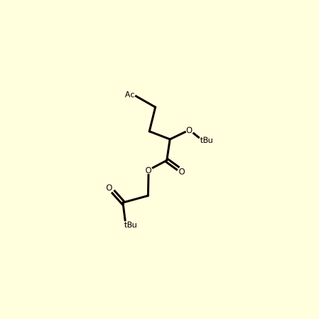 CC(=O)CCC(OC(C)(C)C)C(=O)OCC(=O)C(C)(C)C